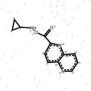 O=C(ONC1CC1)c1ccc2ncccc2n1